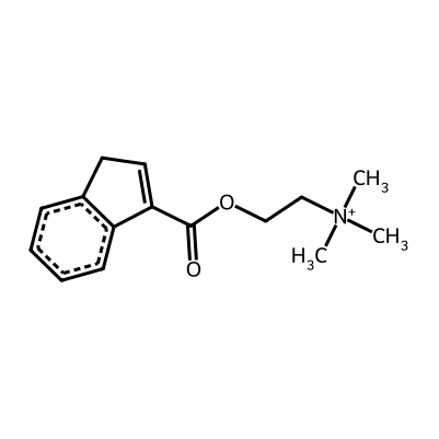 C[N+](C)(C)CCOC(=O)C1=CCc2ccccc21